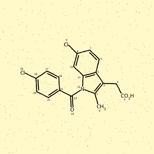 Cc1c(CC(=O)O)c2ccc(Cl)cc2n1C(=O)c1ccc(Cl)cc1